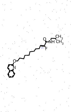 CC(C)CNC(=O)/C(F)=C/CCCCCCCCCOc1ccc2ccccc2n1